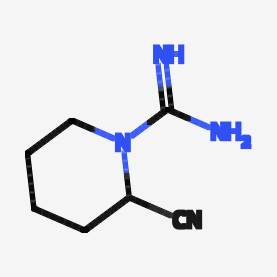 N#CC1CCCCN1C(=N)N